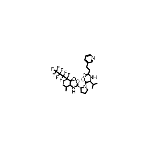 CC(C)C(NC(=O)[C@@H]1CCCN1C(=O)[C@@H](NC(=O)CCc1cccnc1)C(C)C)C(=O)C(F)(F)C(F)(F)C(F)(F)C(F)(F)F